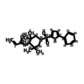 C=CC(=O)NC1C(C)(C)CN(S(=O)(=O)c2ccc(-c3ccccc3)s2)CC1(C)C